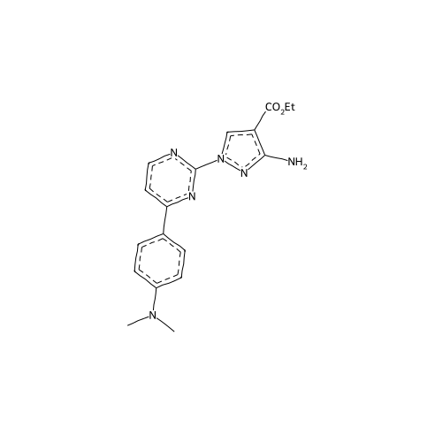 CCOC(=O)c1cn(-c2nccc(-c3ccc(N(C)C)cc3)n2)nc1N